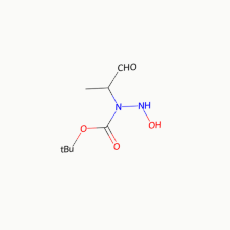 CC(C=O)N(NO)C(=O)OC(C)(C)C